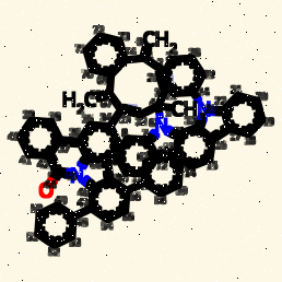 C=C1/C=C\C(C)(n2c3ccccc3c3ccc4c5ccccc5n(-c5ccccc5)c4c32)/C=C(/c2cc3c4ccccc4c(=O)n4c5c(-c6ccccc6)ccc(-c6ccccc6)c5c(c2)c34)C(=C)c2ccccc21